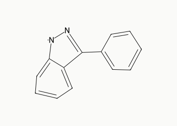 c1ccc(C2=N[N]c3ccccc32)cc1